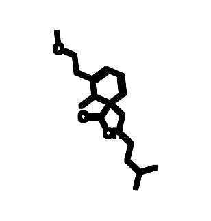 COCCC1=CC=CC(CCCCC(C)C)(C(=O)O)C1C